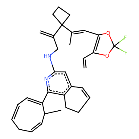 C=CC1=C(/C=C(\C)C2(C(=C)CNc3cc4c(c(/C5=C/C=C\C/C=C\C5C)n3)CCC=C4)CCC2)OC(F)(F)O1